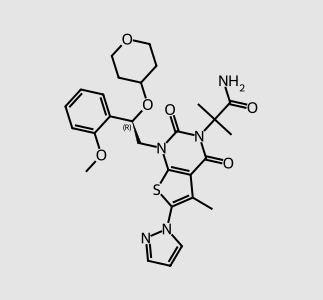 COc1ccccc1[C@H](Cn1c(=O)n(C(C)(C)C(N)=O)c(=O)c2c(C)c(-n3cccn3)sc21)OC1CCOCC1